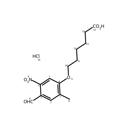 Cc1cc(C=O)c([N+](=O)[O-])cc1OCCCCCC(=O)O.Cl